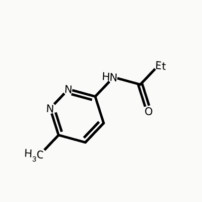 CCC(=O)Nc1ccc(C)nn1